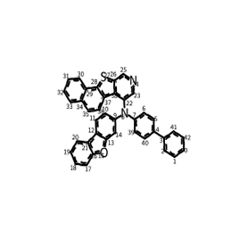 c1ccc(-c2ccc(N(c3ccc4c(c3)oc3ccccc34)c3cncc4sc5c6ccccc6ccc5c34)cc2)cc1